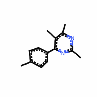 Cc1ccc(-c2nc(C)nc(C)c2C)cc1